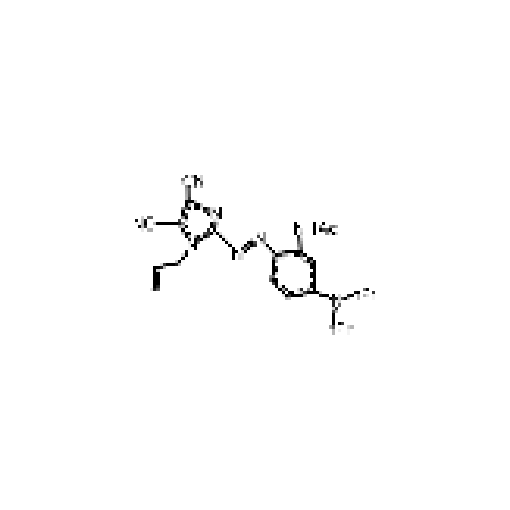 C=CCn1c(/N=N/c2ccc(N(CCC)CCC)cc2NC(C)=O)nc(C#N)c1C#N